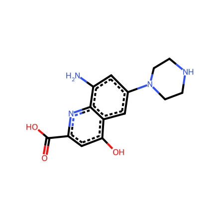 Nc1cc(N2CCNCC2)cc2c(O)cc(C(=O)O)nc12